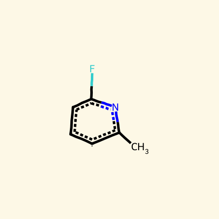 Cc1[c]ccc(F)n1